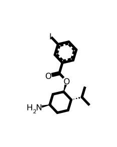 CC(C)[C@@H]1CC[C@@H](N)C[C@H]1OC(=O)c1cccc(I)c1